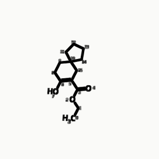 CCOC(=O)C1=C(O)CCC2(CCCC2)C1